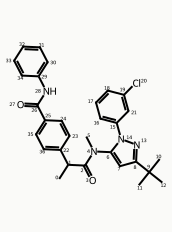 CC(C(=O)N(C)c1cc(C(C)(C)C)nn1-c1cccc(Cl)c1)c1ccc(C(=O)Nc2ccccc2)cc1